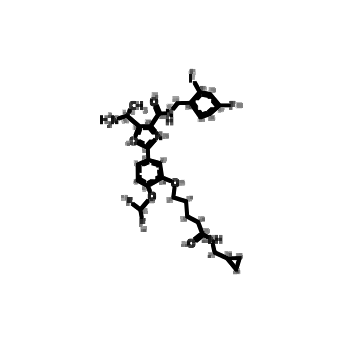 C[C@H](N)c1oc(-c2ccc(OC(F)F)c(OCCCCC(=O)NCC3CC3)c2)nc1C(=O)NCc1ccc(F)cc1F